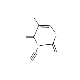 Cc1c[nH]c(=O)n(C#N)c1=O